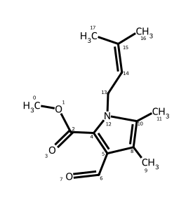 COC(=O)c1c(C=O)c(C)c(C)n1CC=C(C)C